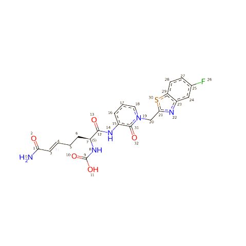 NC(=O)/C=C/CC[C@H](NC(=O)O)C(=O)Nc1cccn(Cc2nc3cc(F)ccc3s2)c1=O